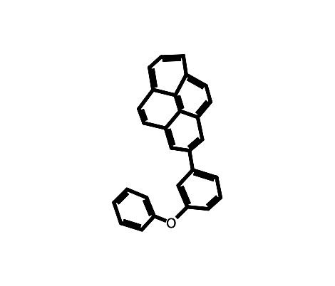 c1ccc(Oc2cccc(-c3cc4ccc5cccc6ccc(c3)c4c56)c2)cc1